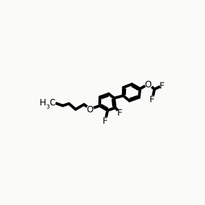 CCCCCOc1ccc(-c2ccc(OC(F)F)cc2)c(F)c1F